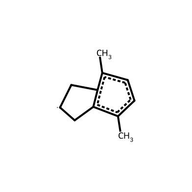 Cc1ccc(C)c2c1C[CH]C2